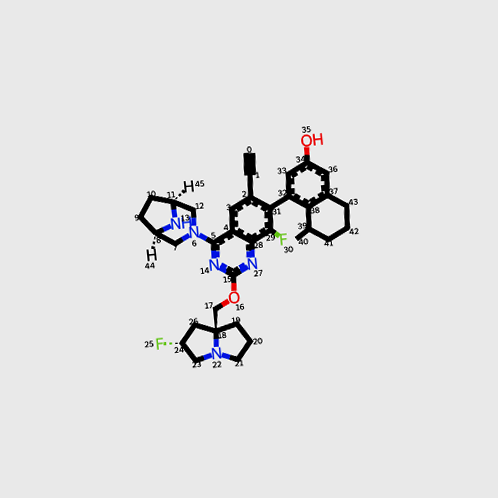 C#Cc1cc2c(N3C[C@H]4CC[C@@H](C3)N4)nc(OC[C@@]34CCCN3C[C@H](F)C4)nc2c(F)c1-c1cc(O)cc2c1C(C)CCC2